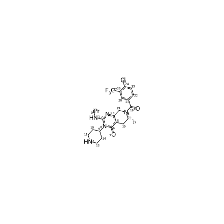 CC(C)Nc1nc2c(c(=O)n1C1CCNCC1)C[C@@H](C)N(C(=O)c1ccc(Cl)c(C(F)(F)F)c1)C2